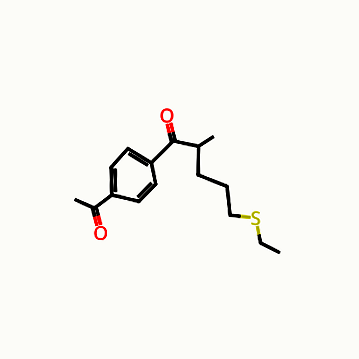 CCSCCCC(C)C(=O)c1ccc(C(C)=O)cc1